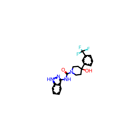 O=C(Nc1n[nH]c2ccccc12)N1CCC(O)(c2cccc(C(F)(F)F)c2)CC1